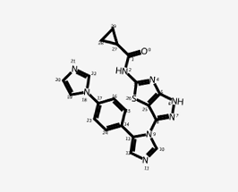 O=C(Nc1nc2[nH]nc(-n3cncc3-c3ccc(-n4ccnc4)cc3)c2s1)C1CC1